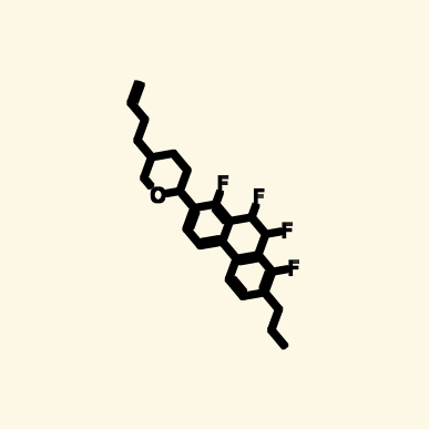 C=CCCC1CCC(c2ccc3c(c2F)C(F)C(F)c2c-3ccc(CCC)c2F)OC1